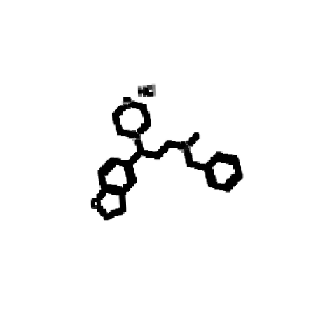 CN(CCC(c1ccc2c(c1)CCO2)N1CCOCC1)Cc1ccccc1.Cl